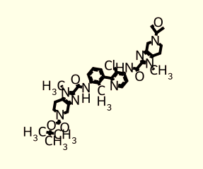 Cc1c(NC(=O)c2nc3c(n2C)CCN(C(=O)OC(C)(C)C)C3)cccc1-c1nccc(NC(=O)c2nc3c(n2C)CCN(C2COC2)C3)c1Cl